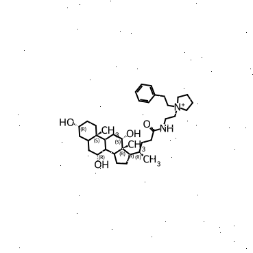 C[C@H](CCC(=O)NCC[N+]1(CCc2ccccc2)CCCC1)[C@H]1CCC2C3C(C[C@H](O)[C@@]21C)[C@@]1(C)CC[C@@H](O)CC1C[C@H]3O